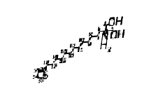 NC(CO)(CO)CCCCCCCCCCCCCc1cccs1